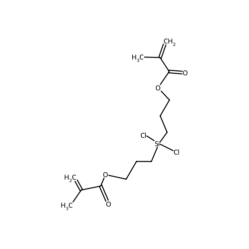 C=C(C)C(=O)OCCC[Si](Cl)(Cl)CCCOC(=O)C(=C)C